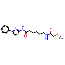 CC(=O)SCC(=O)NCCCCCC(=O)Nc1nc(-c2ccccc2)cs1